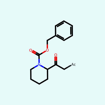 CC(=O)CC(=O)C1CCCCN1C(=O)OCc1ccccc1